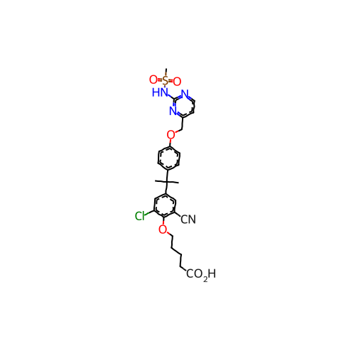 CC(C)(c1ccc(OCc2ccnc(NS(C)(=O)=O)n2)cc1)c1cc(Cl)c(OCCCCC(=O)O)c(C#N)c1